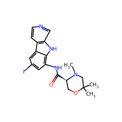 CN1CC(C)(C)OC[C@H]1C(=O)Nc1cc(I)cc2c1[nH]c1cnccc12